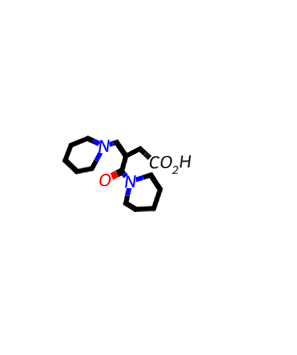 O=C(O)CC(CN1CCCCC1)C(=O)N1CCCCC1